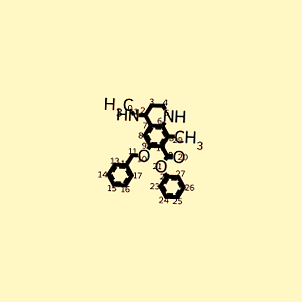 CNC1CCNc2c1cc(OCc1ccccc1)c(C(=O)Oc1ccccc1)c2C